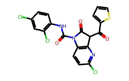 O=C(c1cccs1)C1C(=O)N(C(=O)Nc2ccc(Cl)cc2Cl)c2ccc(Cl)nc21